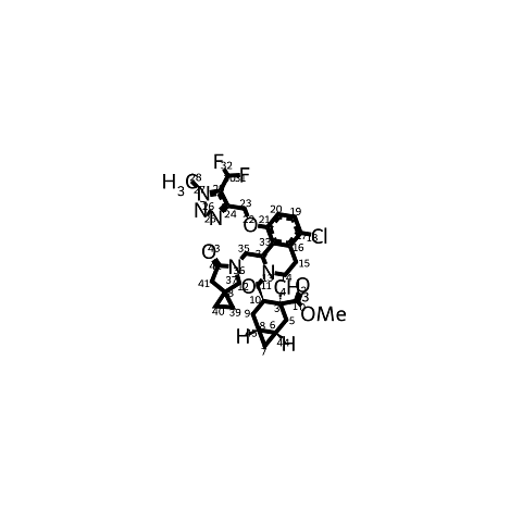 COC(=O)[C@@]1(C)C[C@@H]2C[C@@H]2C[C@H]1C(=O)N1CCc2c(Cl)ccc(OCc3nnn(C)c3C(F)F)c2C1CN1CC2(CC2)CC1=O